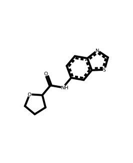 O=C(Nc1ccc2ncsc2c1)C1CCCO1